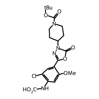 COc1cc(NC(=O)O)c(Cl)cc1-c1nn(C2CCN(C(=O)OC(C)(C)C)CC2)c(=O)o1